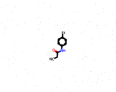 CCc1ccc(NC(=O)CC#N)cc1